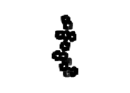 c1ccc2cc(-c3c4ccccc4c(-c4ccc(-c5cc6oc7c(ccc8oc9ccccc9c87)c6c6ccccc56)cc4)c4ccccc34)ccc2c1